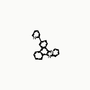 c1ccc(-c2ccc3c(c2)c2ccccc2c2nc4ccccn4c32)nc1